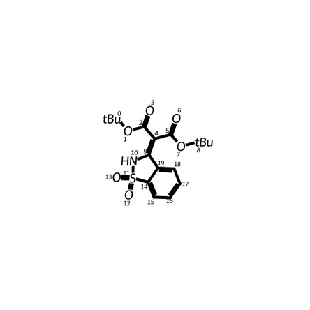 CC(C)(C)OC(=O)C(C(=O)OC(C)(C)C)=C1NS(=O)(=O)c2ccccc21